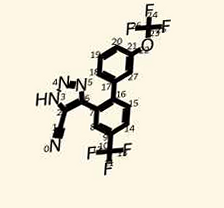 N#Cc1[nH]nnc1-c1cc(C(F)(F)F)ccc1-c1cccc(OC(F)(F)F)c1